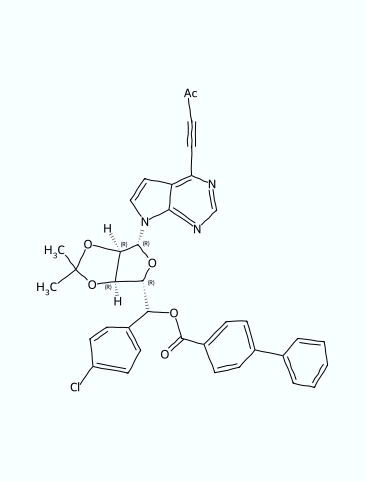 CC(=O)C#Cc1ncnc2c1ccn2[C@@H]1O[C@H](C(OC(=O)c2ccc(-c3ccccc3)cc2)c2ccc(Cl)cc2)[C@H]2OC(C)(C)O[C@H]21